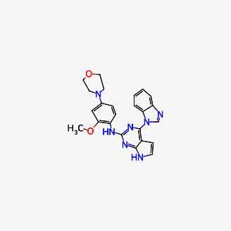 COc1cc(N2CCOCC2)ccc1Nc1nc(-n2cnc3ccccc32)c2cc[nH]c2n1